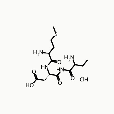 CCC(N)C(=O)NC(=O)[C@H](CC(=O)O)NC(=O)[C@@H](N)CCSC.Cl